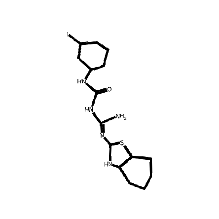 N/C(=N\C1NC2CCCCC2S1)NC(=O)NC1CCCC(I)C1